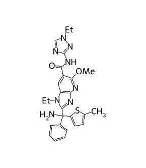 CCn1cnc(NC(=O)c2cc3c(nc2OC)nc(C(N)(c2ccccc2)c2ccc(C)s2)n3CC)n1